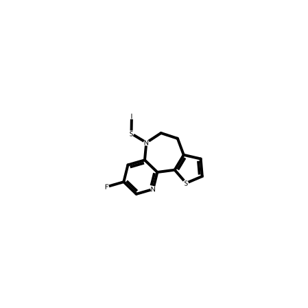 Fc1cnc2c(c1)N(SI)CCc1ccsc1-2